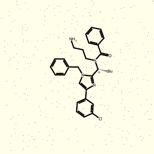 CC(C)(C)[C@H](c1nc(-c2cccc(Cl)c2)cn1Cc1ccccc1)N(CCCN)C(=O)c1ccccc1